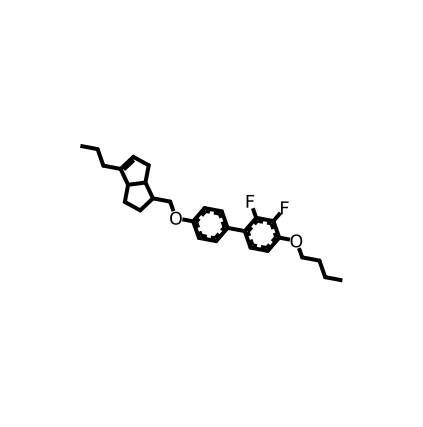 CCCCOc1ccc(-c2ccc(OCC3CCC4C(CCC)=CCC34)cc2)c(F)c1F